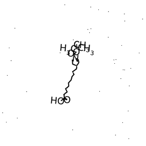 CC(C)(C)OC(=O)N1CCC(CCCCCCCCCCC(=O)O)CC1